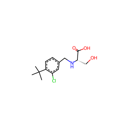 CC(C)(C)c1ccc(CN[C@@H](CO)C(=O)O)cc1Cl